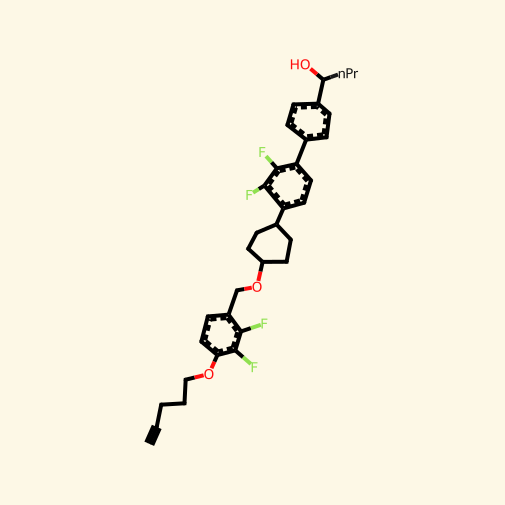 C#CCCCOc1ccc(COC2CCC(c3ccc(-c4ccc(C(O)CCC)cc4)c(F)c3F)CC2)c(F)c1F